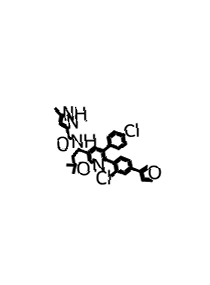 Cc1cc(C(=O)N[C@@H]2CC(C)(C)Oc3nc(-c4ccc(-c5ccoc5)cc4Cl)c(-c4ccc(Cl)cc4)cc32)n[nH]1